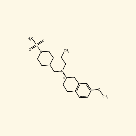 CCCN(CC1CCN(S(C)(=O)=O)CC1)[C@@H]1CCc2ccc(OC)cc2C1